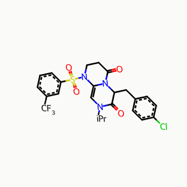 CC(C)N1C=C2N(C(=O)CCN2S(=O)(=O)c2cccc(C(F)(F)F)c2)C(Cc2ccc(Cl)cc2)C1=O